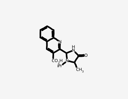 CC(C)N1C(C)C(=O)NC1c1nc2ccccc2cc1C(=O)O